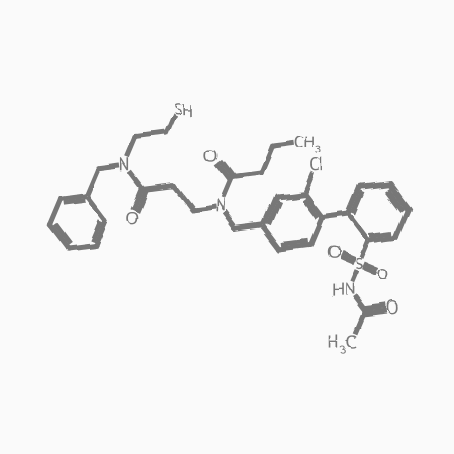 CCCC(=O)N(CCC(=O)N(CCS)Cc1ccccc1)Cc1ccc(-c2ccccc2S(=O)(=O)NC(C)=O)c(Cl)c1